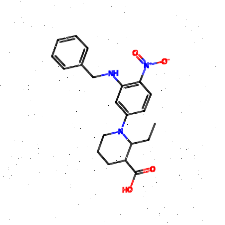 CCC1C(C(=O)O)CCCN1c1ccc([N+](=O)[O-])c(NCc2ccccc2)c1